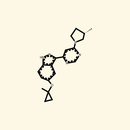 C[C@H]1CCN(c2cc(-c3n[nH]c4ccc(OC5(C)CC5)cc34)ncn2)C1